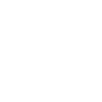 Cc1ccc([SH](c2ccccc2)c2ccc(C3CCCCC3)cc2)cc1